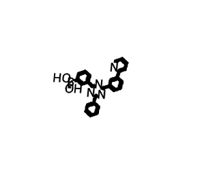 OB(O)c1cccc(-c2nc(-c3ccccc3)nc(-c3cccc(-c4ccccn4)c3)n2)c1